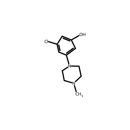 CN1CCN(c2cc(O)cc(Cl)c2)CC1